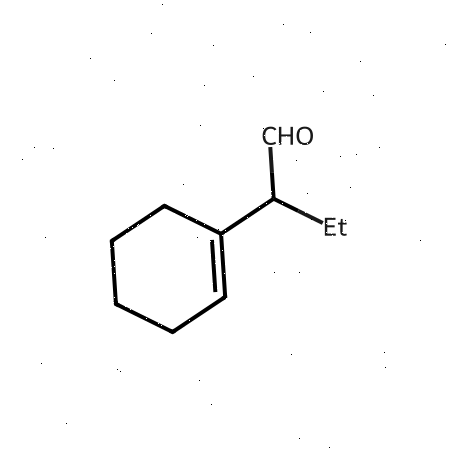 CCC(C=O)C1=CCCCC1